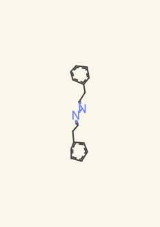 C(Cc1ccccc1)=NN=CCc1ccccc1